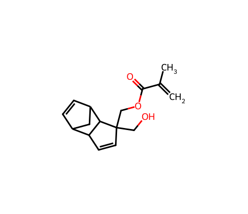 C=C(C)C(=O)OCC1(CO)C=CC2C3C=CC(C3)C21